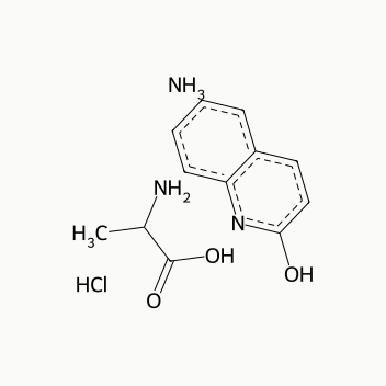 CC(N)C(=O)O.Cl.N.Oc1ccc2ccccc2n1